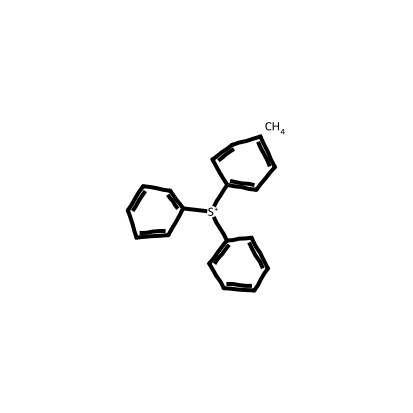 C.c1ccc([S+](c2ccccc2)c2ccccc2)cc1